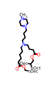 CCCCCCCCCCCOC(=O)CCCCCN(CCCCN1CCN(C)CC1)CCCC(=O)OCC(CCCCCCCC)CCCCCCCCCC